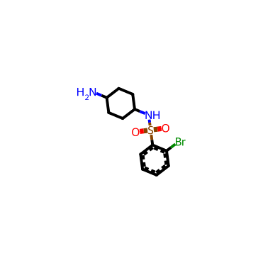 NC1CCC(NS(=O)(=O)c2ccccc2Br)CC1